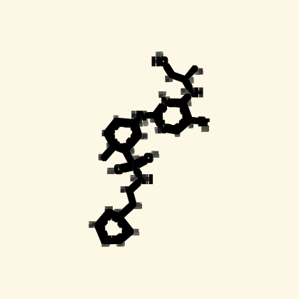 Cc1ccc(Nc2ncc(Br)c(N[C@H](C)CO)n2)cc1S(=O)(=O)NCCc1ccccc1